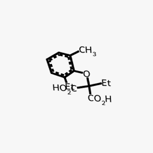 CCc1cccc(C)c1OC(CC)(C(=O)O)C(=O)O